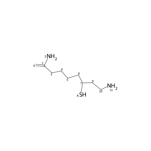 C=C(N)CCCCC(S)CCN